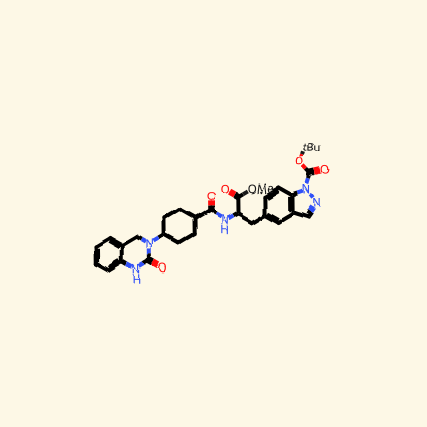 COC(=O)C(Cc1ccc2c(cnn2C(=O)OC(C)(C)C)c1)NC(=O)C1CCC(N2Cc3ccccc3NC2=O)CC1